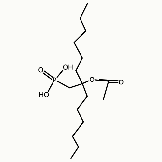 CCCCCCC(CCCCCC)(CP(=O)(O)O)OC(C)=O